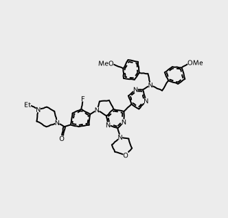 CCN1CCN(C(=O)c2ccc(N3CCc4c(-c5cnc(N(Cc6ccc(OC)cc6)Cc6ccc(OC)cc6)nc5)nc(N5CCOCC5)nc43)c(F)c2)CC1